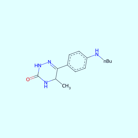 CCCCNc1ccc(C2=NNC(=O)NC2C)cc1